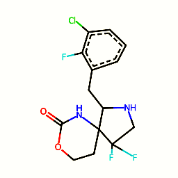 O=C1NC2(CCO1)C(Cc1cccc(Cl)c1F)NCC2(F)F